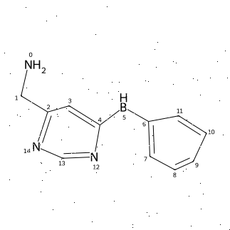 NCc1cc(Bc2ccccc2)ncn1